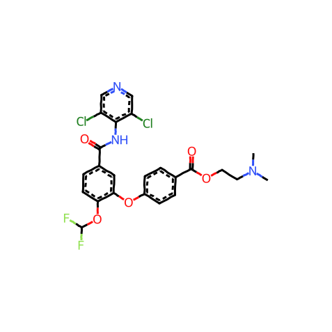 CN(C)CCOC(=O)c1ccc(Oc2cc(C(=O)Nc3c(Cl)cncc3Cl)ccc2OC(F)F)cc1